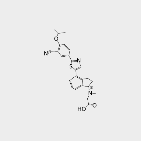 CC(C)Oc1ccc(-c2ncc(-c3cccc4c3CC[C@@H]4N(C)CC(=O)O)s2)cc1C#N